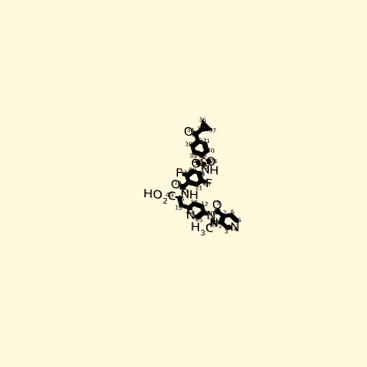 Cn1c2cnccc2c(=O)n1-c1ccc(C[C@H](NC(=O)c2cc(F)c(NS(=O)(=O)c3ccc(C(=O)C4CC4)cc3)cc2F)C(=O)O)nc1